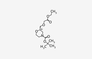 CCOC(=O)COC[C@H]1CN(C(=O)OC(C)(C)C)CCO1